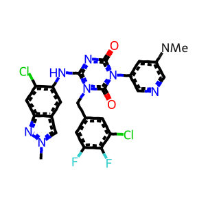 CNc1cncc(-n2c(=O)nc(Nc3cc4cn(C)nc4cc3Cl)n(Cc3cc(F)c(F)c(Cl)c3)c2=O)c1